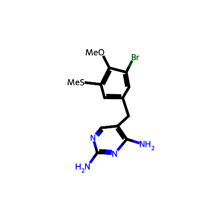 COc1c(Br)cc(Cc2cnc(N)nc2N)cc1SC